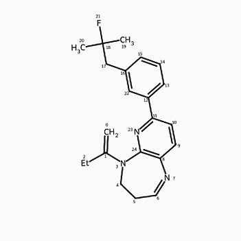 C=C(CC)N1CCC=Nc2ccc(-c3cccc(CC(C)(C)F)c3)nc21